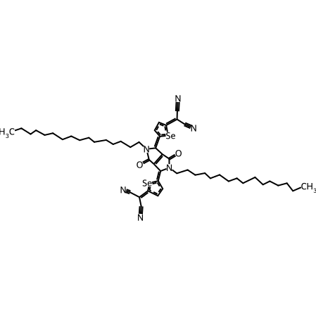 CCCCCCCCCCCCCCCCN1C(=O)C2=C(C(=O)N(CCCCCCCCCCCCCCCC)C2=c2ccc(=C(C#N)C#N)[se]2)C1=c1ccc(=C(C#N)C#N)[se]1